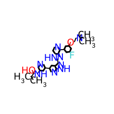 CC(C)C(O)Nc1cncc(-c2cnc3[nH]nc(-c4nc5c(-c6cc(F)cc(OCCN(C)C)c6)nccc5[nH]4)c3c2)c1